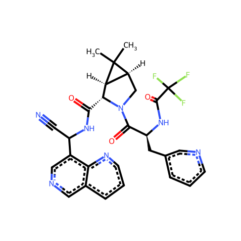 CC1(C)[C@@H]2[C@@H](C(=O)NC(C#N)c3cncc4cccnc34)N(C(=O)[C@H](Cc3cccnc3)NC(=O)C(F)(F)F)C[C@@H]21